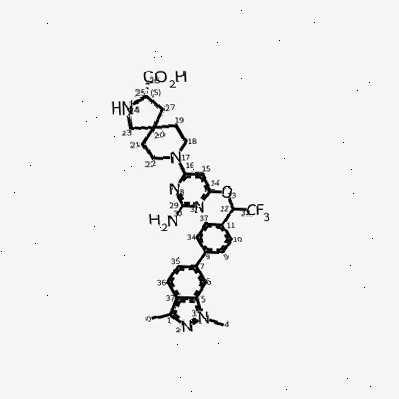 Cc1nn(C)c2cc(-c3ccc(C(Oc4cc(N5CCC6(CC5)CN[C@H](C(=O)O)C6)nc(N)n4)C(F)(F)F)cc3)ccc12